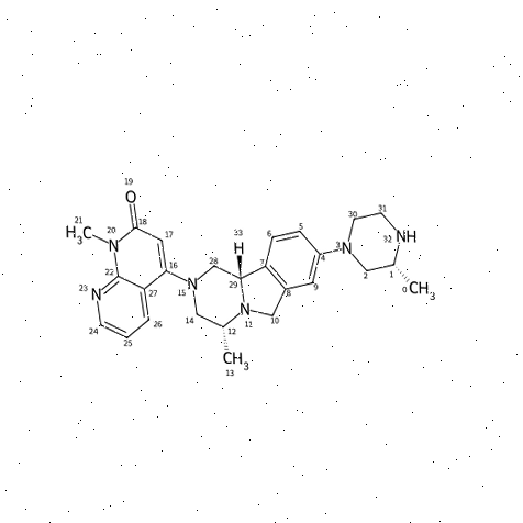 C[C@@H]1CN(c2ccc3c(c2)CN2[C@H](C)CN(c4cc(=O)n(C)c5ncccc45)C[C@H]32)CCN1